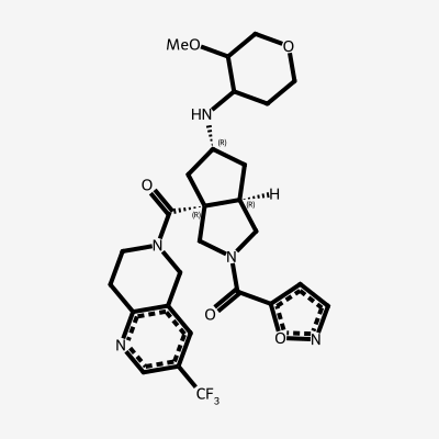 COC1COCCC1N[C@@H]1C[C@H]2CN(C(=O)c3ccno3)C[C@@]2(C(=O)N2CCc3ncc(C(F)(F)F)cc3C2)C1